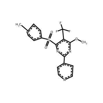 COc1nc(-c2ccncc2)nc(S(=O)(=O)c2ccc(C)cc2)c1C(F)(F)F